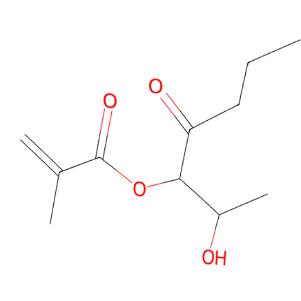 C=C(C)C(=O)OC(C(=O)CCC)C(C)O